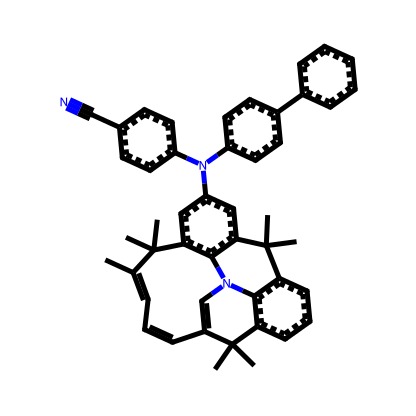 C/C1=C\C=C/C2=CN3c4c(cccc4C(C)(C)c4cc(N(c5ccc(C#N)cc5)c5ccc(-c6ccccc6)cc5)cc(c43)C1(C)C)C2(C)C